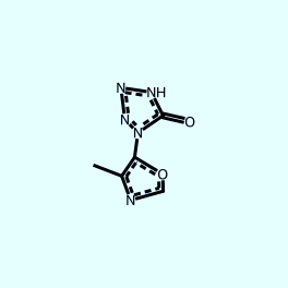 Cc1ncoc1-n1nn[nH]c1=O